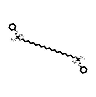 CC(C)(N=NC1CCCCC1)SCCCCCCCCCCCCCCCCCCCCSC(C)(C)N=NC1CCCCC1